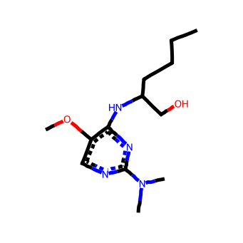 CCCCC(CO)Nc1nc(N(C)C)ncc1OC